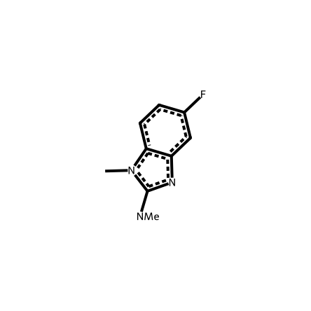 CNc1nc2cc(F)ccc2n1C